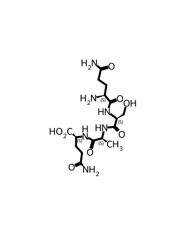 C[C@H](NC(=O)[C@H](CO)NC(=O)[C@@H](N)CCC(N)=O)C(=O)N[C@@H](CCC(N)=O)C(=O)O